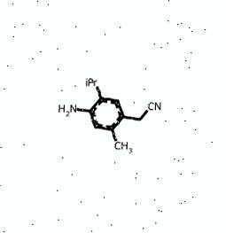 Cc1cc(N)c(C(C)C)cc1CC#N